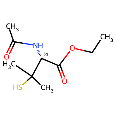 CCOC(=O)[C@@H](NC(C)=O)C(C)(C)S